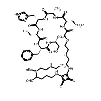 CCCCN(CCNCC(=O)O)C(C=O)CCCNc1c(NCCOCCOCC(=O)N[C@@H](CC(=O)O)C(=O)N[C@@H](C)C(=O)N[C@@H](Cc2c[nH]cn2)C(=O)N[C@@H](CO)C(=O)N[C@@H](Cc2ccccc2)C(=O)N[C@@H](CO)C(=O)O)c(=O)c1=O